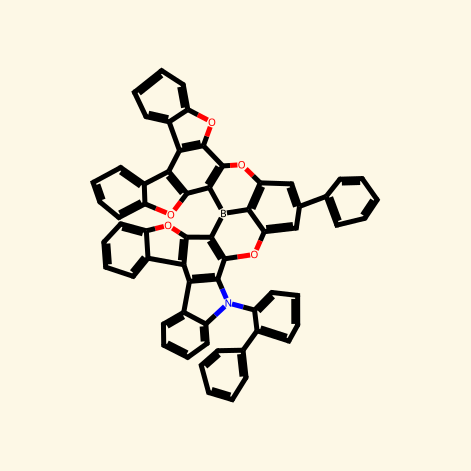 c1ccc(-c2cc3c4c(c2)Oc2c(c5oc6ccccc6c5c5c6ccccc6n(-c6ccccc6-c6ccccc6)c25)B4c2c(c4oc5ccccc5c4c4c2oc2ccccc24)O3)cc1